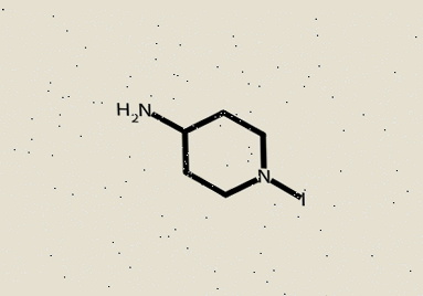 NC1CCN(I)CC1